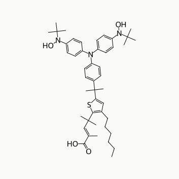 CCCCCCc1cc(C(C)(C)c2ccc(N(c3ccc(N(O)C(C)(C)C)cc3)c3ccc(N(O)C(C)(C)C)cc3)cc2)sc1C(C)(C)/C=C(\C)C(=O)O